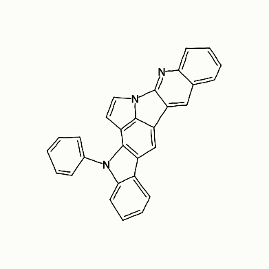 c1ccc(-n2c3ccccc3c3cc4c5cc6ccccc6nc5n5ccc(c32)c45)cc1